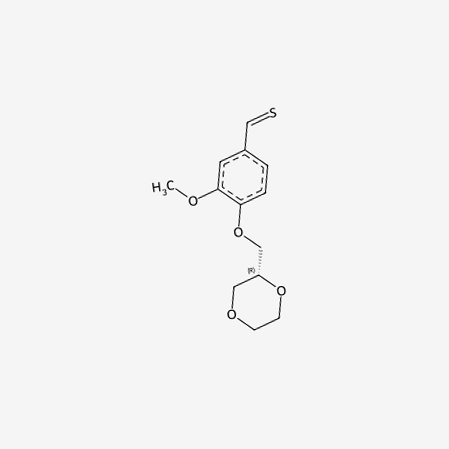 COc1cc(C=S)ccc1OC[C@H]1COCCO1